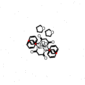 C1CCOC1.C1CCOC1.O=C1CC(=O)[N](c2ccccc2)[Zr]2([Cl])([Cl])([N]1c1ccccc1)[N](c1ccccc1)C(=O)CC(=O)[N]2c1ccccc1